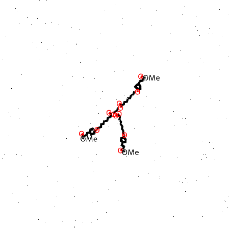 COC(=O)/C=C/c1ccc(OCCCCCCCCC(=O)OCC(COC(=O)CCCCCCCCOc2ccc(/C=C/C(=O)OC)cc2)OC(=O)CCCCCCCCOc2ccc(/C=C/C(=O)OC)cc2)cc1